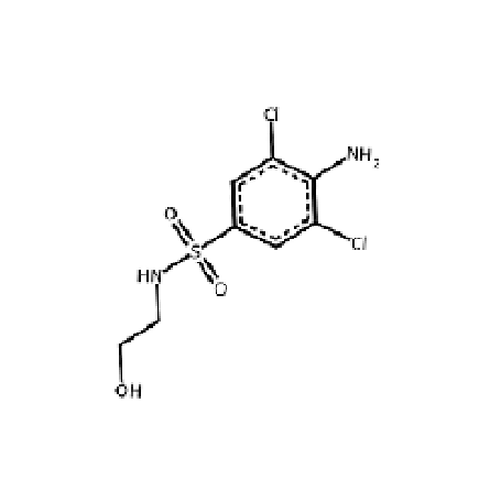 Nc1c(Cl)cc(S(=O)(=O)NCCO)cc1Cl